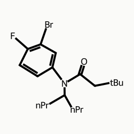 CCCC(CCC)N(C(=O)CC(C)(C)C)c1ccc(F)c(Br)c1